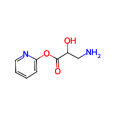 NCC(O)C(=O)Oc1ccccn1